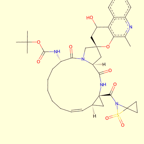 Cc1nc2ccccc2c2c1O[C@]1(CC2O)C[C@H]2C(=O)N[C@]3(C(=O)N4C5(CC5)S4(=O)=O)C[C@H]3/C=C\CCCCC[C@H](NC(=O)OC(C)(C)C)C(=O)N2C1